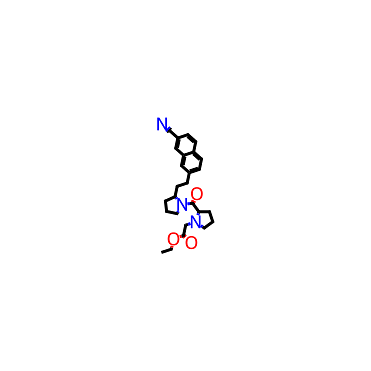 CCOC(=O)CN1CCCC1C(=O)N1CCCC1CCc1ccc2ccc(C#N)cc2c1